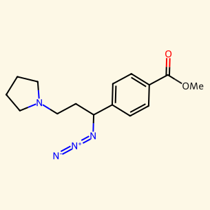 COC(=O)c1ccc(C(CCN2CCCC2)N=[N+]=[N-])cc1